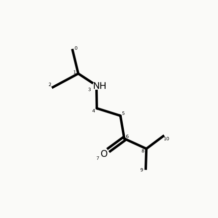 CC(C)NCCC(=O)C(C)C